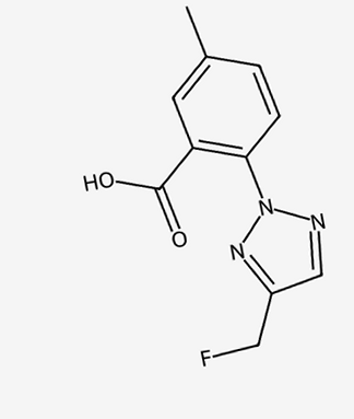 Cc1ccc(-n2ncc(CF)n2)c(C(=O)O)c1